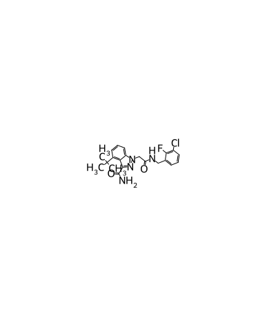 CC(C)(C)c1cccc2c1c(C(N)=O)nn2CC(=O)NCc1cccc(Cl)c1F